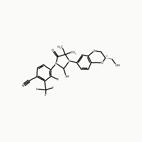 CC1(C)C(=O)N(c2ccc(C#N)c(C(F)(F)F)c2F)C(S)N1c1ccc2c(c1)SC[C@H](CO)O2